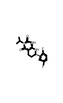 CC(C)n1c(=O)[nH]c2c(c1=O)CC[C@H](c1cc(F)ccc1F)N2